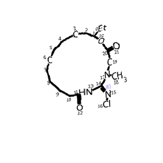 CCC1CCCCCCCCCC(=O)N/C(=N\Cl)N(C)CC(=O)O1